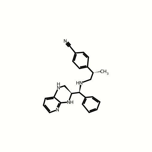 C[C@H](CN[C@@H](c1ccccc1)[C@@H]1CNc2cccnc2N1)c1ccc(C#N)cc1